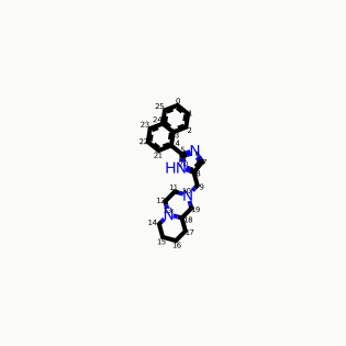 c1ccc2c(-c3ncc(CN4CCN5CCCCC5C4)[nH]3)cccc2c1